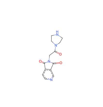 O=C(CN1C(=O)c2ccncc2C1=O)N1CCNCC1